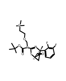 CC(C)(C)OC(=O)N(COCC[Si](C)(C)C)C1=N[C@](C)(c2cccc(F)c2F)C2C[C@]2(C=O)S1